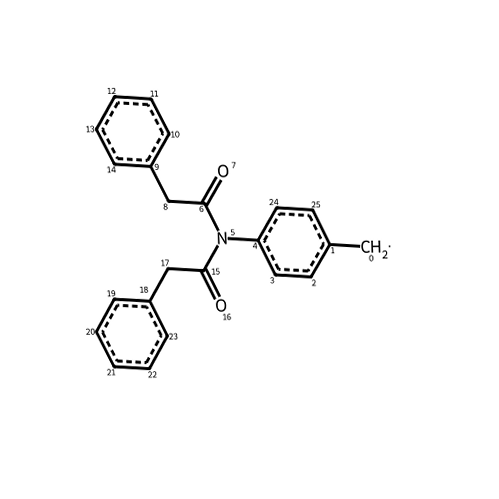 [CH2]c1ccc(N(C(=O)Cc2ccccc2)C(=O)Cc2ccccc2)cc1